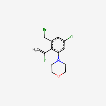 C=C(F)c1c(CBr)cc(Cl)cc1N1CCOCC1